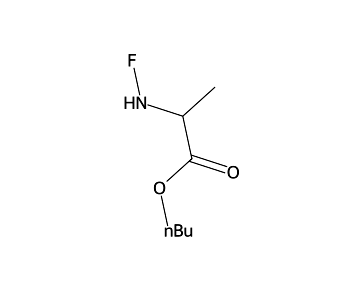 CCCCOC(=O)C(C)NF